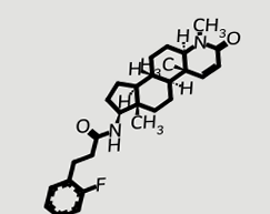 CN1C(=O)C=C[C@]2(C)[C@H]3CC[C@]4(C)[C@@H](NC(=O)CCc5ccccc5F)CC[C@H]4[C@@H]3CC[C@@H]12